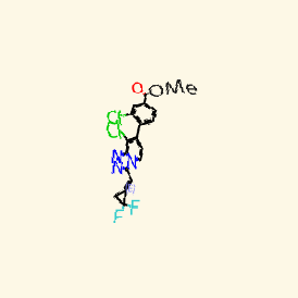 COC(=O)c1ccc(-c2ccn3c(/C=C4\CC4(F)F)nnc3c2Cl)c(Cl)c1